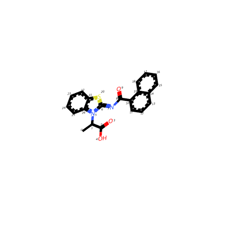 CC(C(=O)O)n1c(=NC(=O)c2cccc3ccccc23)sc2ccccc21